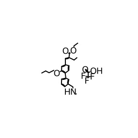 CCCCOc1cc(/C=C(\CC)C(=O)OCC)ccc1-c1cccc(CNC)c1.O=C(O)C(F)(F)F